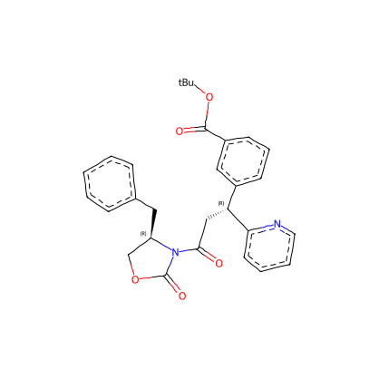 CC(C)(C)OC(=O)c1cccc([C@@H](CC(=O)N2C(=O)OC[C@H]2Cc2ccccc2)c2ccccn2)c1